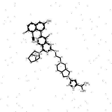 C#Cc1c(F)ccc2cc(O)cc(-c3ncc4c(N5CC6CCC(C5)N6)nc(OCCN5CCC6CN(c7cc(C(C)C(C)C)on7)CC6C5)nc4c3F)c12